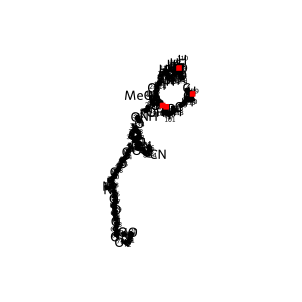 C=C1C[C@@H]2CC[C@]34C[C@H]5OC6(O3)[C@@H]3[C@@H](O[C@H]7CC[C@H](CC(=O)C[C@@H]8[C@@H](OC)[C@@H](C[C@H](O)CNC(=O)OCc9ccc(N(CCOCCOCCOCCn%10cc(COCCOCCOCCC(=O)ON%11C(=O)CCC%11=O)nn%10)S(=O)(=O)c%10ccc(C#N)cn%10)cc9)O[C@H]8C[C@H]8O[C@@H](CC[C@@H]1O2)C[C@@H](C)C8=C)O[C@@H]7[C@@H]3O4)[C@H]56